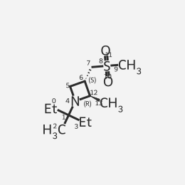 CCC(C)(CC)N1C[C@H](CS(C)(=O)=O)[C@H]1C